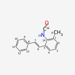 Cc1cccc(C=Cc2ccccc2)c1N=C=O